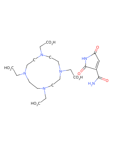 NC(=O)C1=CC(=O)NC1=O.O=C(O)CN1CCN(CC(=O)O)CCN(CC(=O)O)CCN(CC(=O)O)CC1